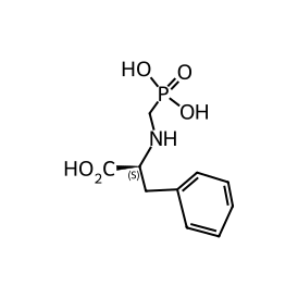 O=C(O)[C@H](Cc1ccccc1)NCP(=O)(O)O